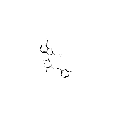 COc1nc2c(CN)cccc2n1-c1nnc(C)c(NCc2cccc(F)c2)n1